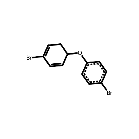 BrC1=CCC(Oc2ccc(Br)cc2)C=C1